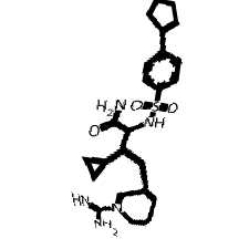 N=C(N)N1CCCC(CC(C2CC2)C(NS(=O)(=O)c2ccc(C3CCCC3)cc2)C(N)=O)C1